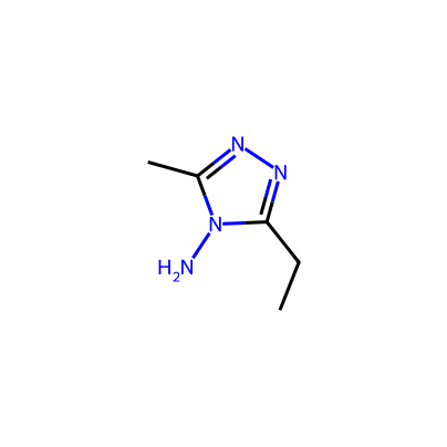 CCc1nnc(C)n1N